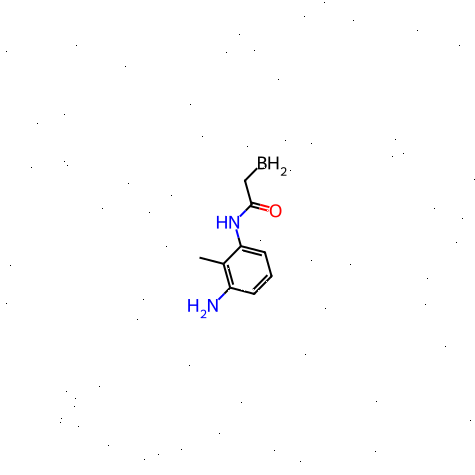 BCC(=O)Nc1cccc(N)c1C